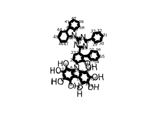 Oc1c(O)c(O)c2c(c1O)c1c(O)c(O)c(O)c(O)c1n2-c1ccc(-c2nc(-c3ccccc3)nc(N3c4ccccc4C4C=CC=CC43)n2)c2c1oc1ccccc12